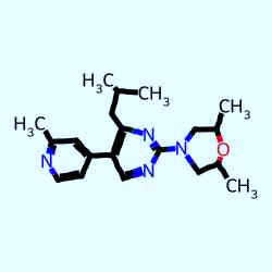 Cc1cc(-c2cnc(N3CC(C)OC(C)C3)nc2CC(C)C)ccn1